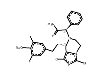 CCc1nc(Cl)c2n1CCN([C@@H](C(=O)NC)c1ccccc1)[C@H]2CCc1cc(F)c(OC)c(F)c1